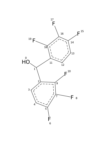 OC(c1ccc(F)c(F)c1F)c1ccc(F)c(F)c1F